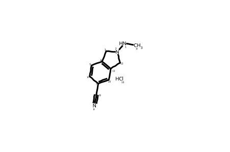 CNN1Cc2ccc(C#N)cc2C1.Cl